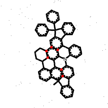 CC1(C)c2ccccc2-c2ccc(N(c3ccccc3-c3cccc4c3-c3ccccc3C4(c3ccccc3)c3ccccc3)c3ccccc3-c3cccc4cccc(C5CCCCC5)c34)cc21